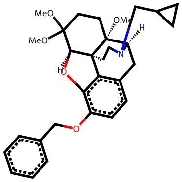 COC1(OC)CC[C@@]2(OC)[C@H]3Cc4ccc(OCc5ccccc5)c5c4[C@@]2(CCN3CC2CC2)[C@H]1O5